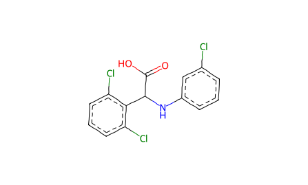 O=C(O)C(Nc1cccc(Cl)c1)c1c(Cl)cccc1Cl